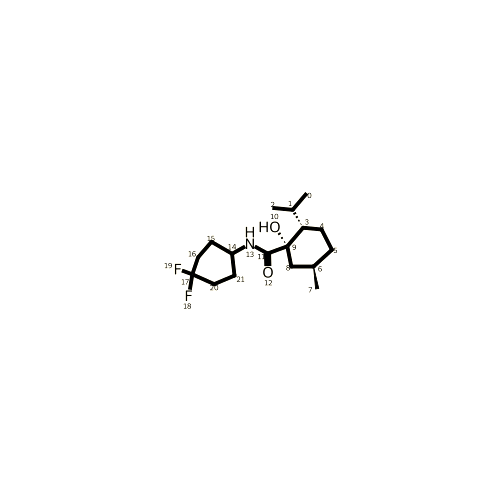 CC(C)[C@@H]1CC[C@@H](C)C[C@@]1(O)C(=O)NC1CCC(F)(F)CC1